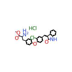 COC(=O)C(N)Cc1ccc(Oc2ccc(C=C3C(=O)Nc4ccccc43)cc2Cl)cc1.Cl